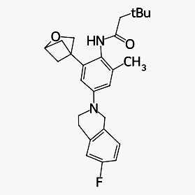 Cc1cc(N2CCc3cc(F)ccc3C2)cc(C23COC(C2)C3)c1NC(=O)CC(C)(C)C